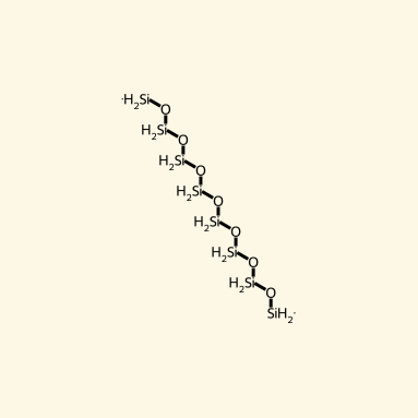 [SiH2]O[SiH2]O[SiH2]O[SiH2]O[SiH2]O[SiH2]O[SiH2]O[SiH2]